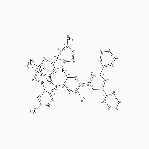 Cc1ccc2c(c1)c1cc(C)ccc1n2-c1cc(C#N)c(-c2cc(-c3ccccc3)nc(-c3ccccc3)n2)cc1-n1c2ccc(C)cc2c2cc(C)ccc21